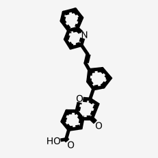 O=C(O)c1ccc2oc(-c3cccc(C=Cc4ccc5ccccc5n4)c3)cc(=O)c2c1